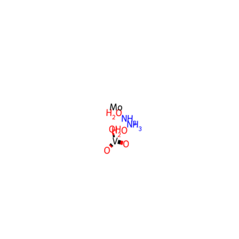 N.N.O.O.[Mo].[O]=[V](=[O])[OH]